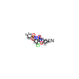 Cc1ccc(S(=O)(=O)Nc2ccc(Cl)c3c2C(=O)N(Cc2cccc(C#N)c2)C3=O)cc1